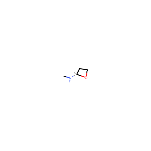 CN[C@@H]1CCO1